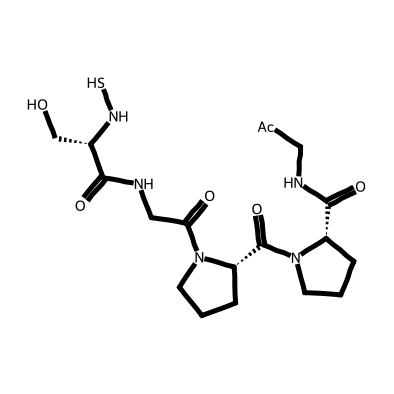 CC(=O)CNC(=O)[C@@H]1CCCN1C(=O)[C@@H]1CCCN1C(=O)CNC(=O)[C@H](CO)NS